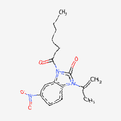 C=C(C)n1c(=O)n(C(=O)CCCCC)c2cc([N+](=O)[O-])ccc21